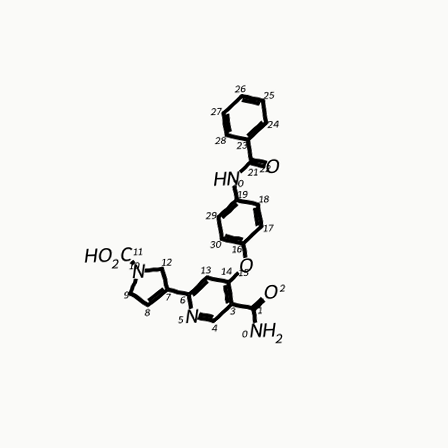 NC(=O)c1cnc(C2=CCN(C(=O)O)C2)cc1Oc1ccc(NC(=O)c2ccccc2)cc1